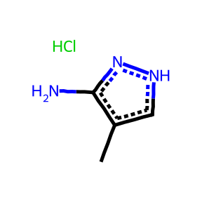 Cc1c[nH]nc1N.Cl